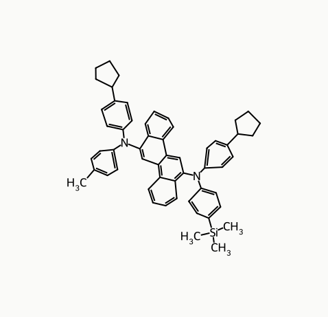 Cc1ccc(N(c2ccc(C3CCCC3)cc2)c2cc3c4ccccc4c(N(c4ccc(C5CCCC5)cc4)c4ccc([Si](C)(C)C)cc4)cc3c3ccccc23)cc1